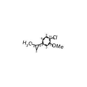 COc1cc(C2CC2C)ccc1Cl